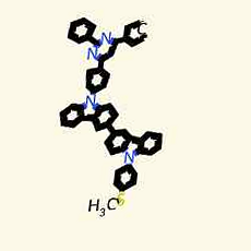 CSc1ccc(-n2c3ccccc3c3cc(-c4ccc5c(c4)c4ccccc4n5-c4ccc(-c5cc(-c6ccccc6)nc(-c6ccccc6)n5)cc4)ccc32)cc1